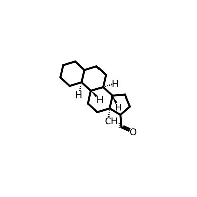 C[C@]12CC[C@H]3[C@@H](CCC4CCCC[C@@H]43)[C@@H]1CCC2C=O